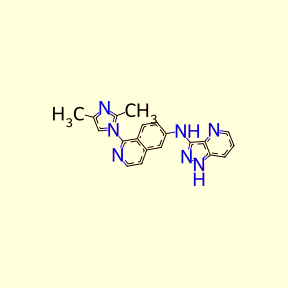 Cc1cn(-c2nccc3cc(Nc4n[nH]c5cccnc45)ccc23)c(C)n1